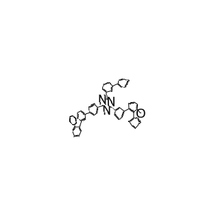 c1ccc(-c2cccc(-c3nc(-c4ccc(-c5ccc6oc7ccccc7c6c5)cc4)nc(-c4cccc(-c5cccc6oc7ccccc7c56)c4)n3)c2)cc1